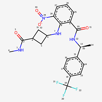 CNC(=O)C1CC(Nc2c(C(=O)N[C@@H](C)c3ccc(C(F)(F)F)cc3)cccc2[N+](=O)[O-])C1